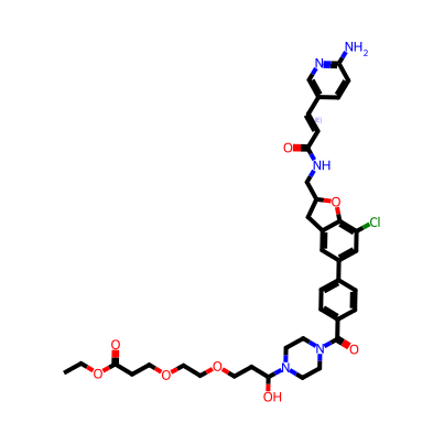 CCOC(=O)CCOCCOCCC(O)N1CCN(C(=O)c2ccc(-c3cc(Cl)c4c(c3)CC(CNC(=O)/C=C/c3ccc(N)nc3)O4)cc2)CC1